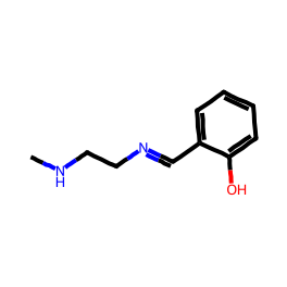 CNCC/N=C/c1ccccc1O